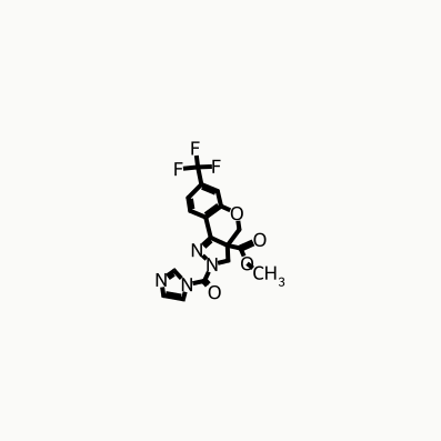 COC(=O)C12COc3cc(C(F)(F)F)ccc3C1=NN(C(=O)n1ccnc1)C2